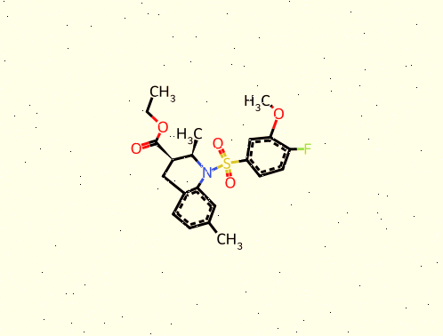 CCOC(=O)[C@@H]1Cc2ccc(C)cc2N(S(=O)(=O)c2ccc(F)c(OC)c2)[C@@H]1C